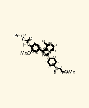 CCC[C@H](C)OC(=O)Nc1ccc(-c2nc([C@H]3CC[C@H](N(C)CCOC)CC3)n3ccnc(C)c23)cc1OC